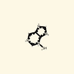 Sn1cncc2ncnc1-2